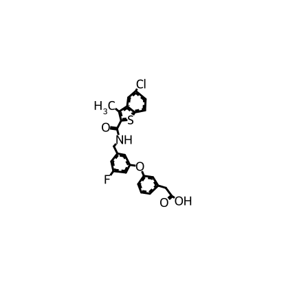 Cc1c(C(=O)NCc2cc(F)cc(Oc3cccc(CC(=O)O)c3)c2)sc2ccc(Cl)cc12